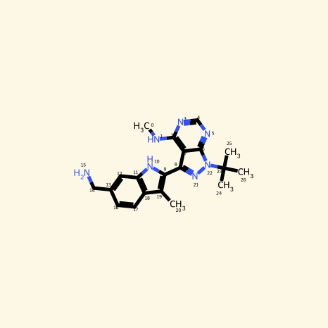 CNc1ncnc2c1c(-c1[nH]c3cc(CN)ccc3c1C)nn2C(C)(C)C